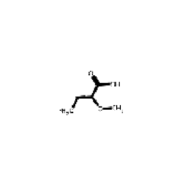 [CH2]CC(OC)C(=O)O